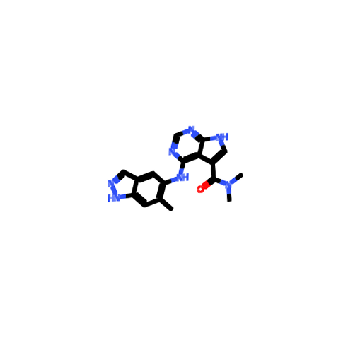 Cc1cc2[nH]ncc2cc1Nc1ncnc2[nH]cc(C(=O)N(C)C)c12